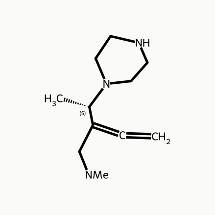 C=C=C(CNC)[C@H](C)N1CCNCC1